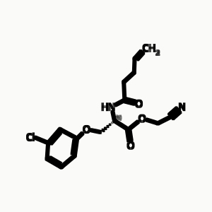 C=CCCC(=O)N[C@@H](COc1cccc(Cl)c1)C(=O)OCC#N